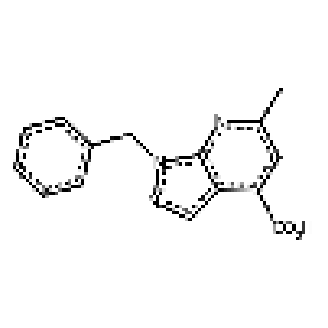 Cc1cc(C(=O)O)c2cnn(Cc3ccccc3)c2n1